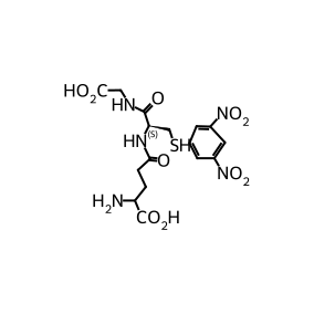 NC(CCC(=O)N[C@H](CS)C(=O)NCC(=O)O)C(=O)O.O=[N+]([O-])c1cccc([N+](=O)[O-])c1